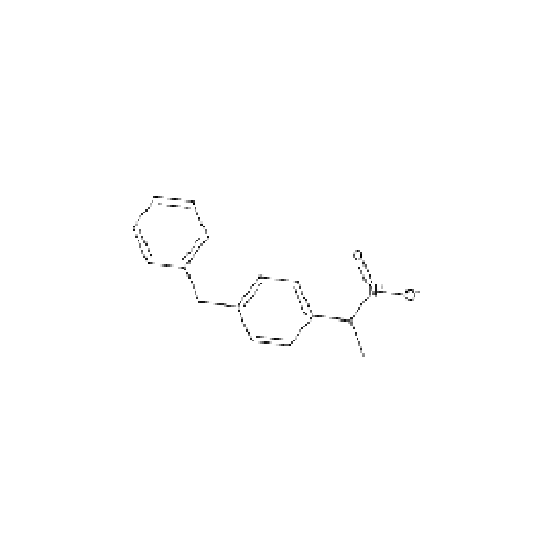 CC(c1ccc(Cc2ccccc2)cc1)[N+](=O)[O-]